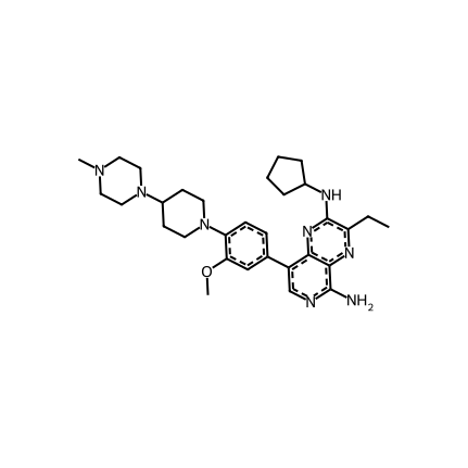 CCc1nc2c(N)ncc(-c3ccc(N4CCC(N5CCN(C)CC5)CC4)c(OC)c3)c2nc1NC1CCCC1